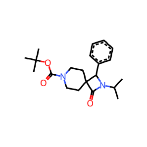 CC(C)N1C(=O)C2(CCN(C(=O)OC(C)(C)C)CC2)C1c1ccccc1